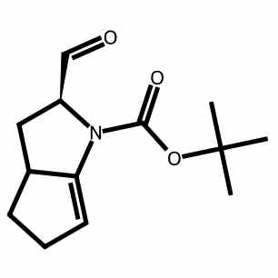 CC(C)(C)OC(=O)N1C2=CCCC2C[C@H]1C=O